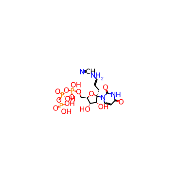 C#N.NC=CC[C@@]1(n2ccc(=O)[nH]c2=O)O[C@H](COP(=O)(O)OP(=O)(O)OP(=O)(O)O)[C@@H](O)[C@H]1O